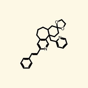 C(=Cc1cc2c(cn1)C1(Cc3ccccn3)CCC3(CC1CCC2)OCCO3)c1ccccc1